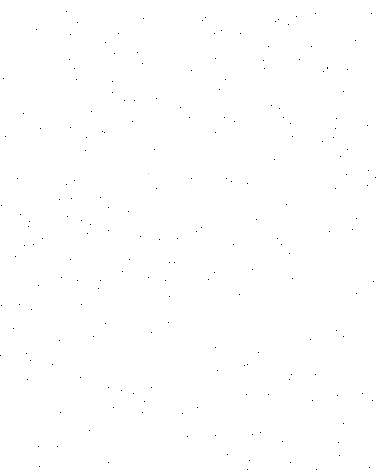 [C]1=C\C=C\C/C=C\CC\C=C/1